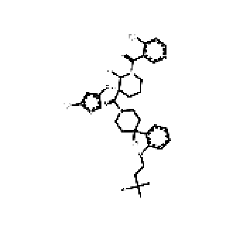 CCC[C@H]1N(C(=O)c2cnccc2C(F)(F)F)CCC[C@@]1(Oc1csc(C(F)(F)F)c1)C(=O)N1CCC(C#N)(c2ccccc2OCCC(C)(C)C(C)=O)CC1